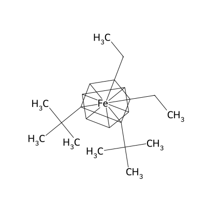 CC[C]12[CH]3[C]4(C(C)(C)C)[C]5(C(C)(C)C)[C]1(CC)[Fe]32451678[CH]2[CH]1[CH]6[CH]7[CH]28